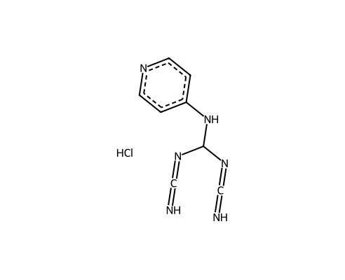 Cl.N=C=NC(N=C=N)Nc1ccncc1